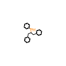 c1ccc(CC(Cc2ccccc2)Pc2ccccc2)cc1